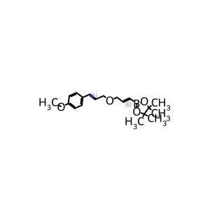 COc1ccc(/C=C/COC/C=C/B2OC(C)(C)C(C)(C)O2)cc1